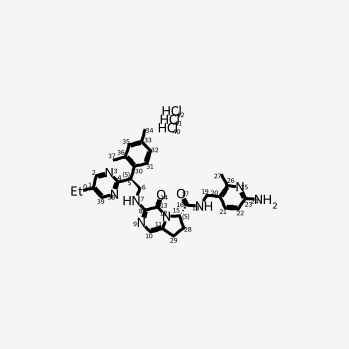 CCc1cnc([C@H](CNc2ncc3n(c2=O)[C@H](C(=O)NCc2ccc(N)nc2C)CC3)c2ccc(C)cc2C)nc1.Cl.Cl.Cl